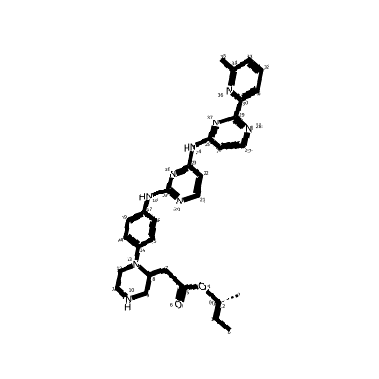 CC[C@@H](C)OC(=O)CC1CNCCN1c1ccc(Nc2nccc(Nc3ccnc(-c4cccc(C)n4)n3)n2)cc1